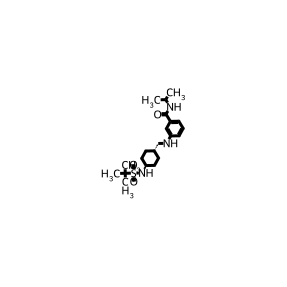 CC(C)NC(=O)c1cccc(NC[C@H]2CC[C@H](NS(=O)(=O)C(C)(C)C)CC2)c1